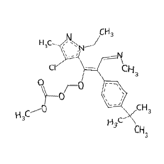 CCn1nc(C)c(Cl)c1/C(OCOC(=O)OC)=C(\C=N/C)c1ccc(C(C)(C)C)cc1